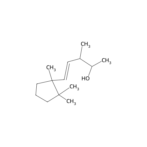 CC(O)C(C)C=CC1(C)CCCC1(C)C